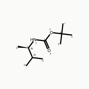 [CH2][C@@H](NC(=O)OC(C)(C)C)C(C)C